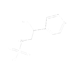 CC(CNS(=O)(=O)C(C)C)c1ccncc1